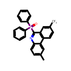 Cc1ccc2nc(P(=O)(c3ccccc3)c3ccccc3)c3cc(C(F)(F)F)ccc3c2c1